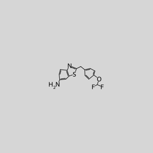 Nc1ccc2nc(Cc3ccc(OC(F)F)cc3)sc2c1